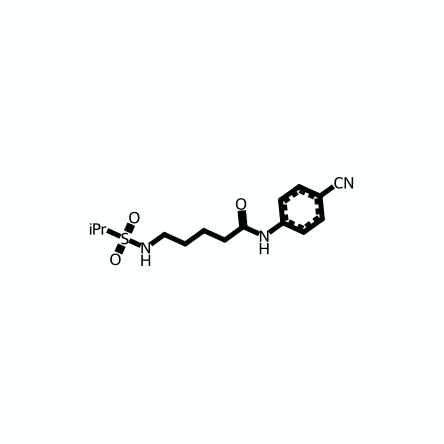 CC(C)S(=O)(=O)NCCCCC(=O)Nc1ccc(C#N)cc1